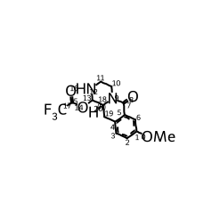 COc1ccc2c(c1)C(=O)N1CCNC(OC(=O)C(F)(F)F)[C@H]1C2